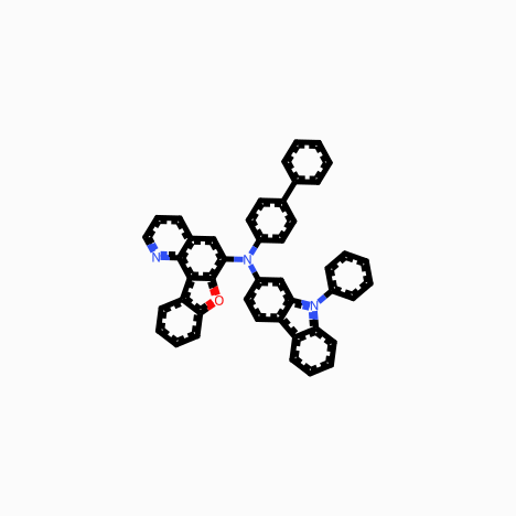 c1ccc(-c2ccc(N(c3ccc4c5ccccc5n(-c5ccccc5)c4c3)c3cc4cccnc4c4c3oc3ccccc34)cc2)cc1